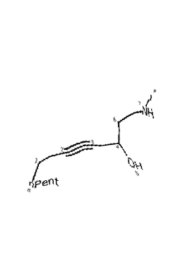 CCCCCCC#CC(O)CNI